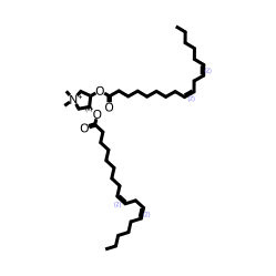 CCCCC/C=C\C/C=C\CCCCCCCC(=O)OC1C[N+](C)(C)C[C@H]1OC(=O)CCCCCCC/C=C\C/C=C\CCCCC